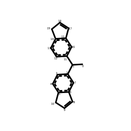 CC(c1ccc2c(c1)C=CC2)c1ccc2c(c1)C=CC2